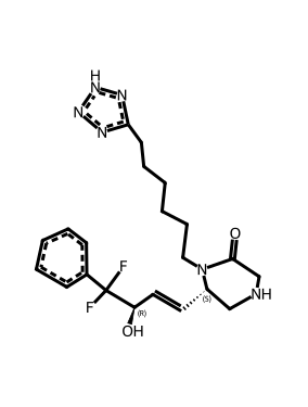 O=C1CNC[C@H](C=C[C@@H](O)C(F)(F)c2ccccc2)N1CCCCCCc1nn[nH]n1